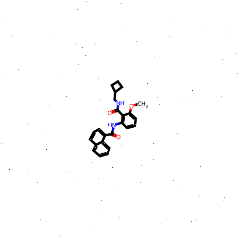 COc1cccc(NC(=O)c2cccc3ccccc23)c1C(=O)NCC1CCC1